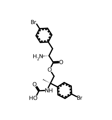 C[C@@](COC(=O)[C@H](N)Cc1ccc(Br)cc1)(NC(=O)O)c1ccc(Br)cc1